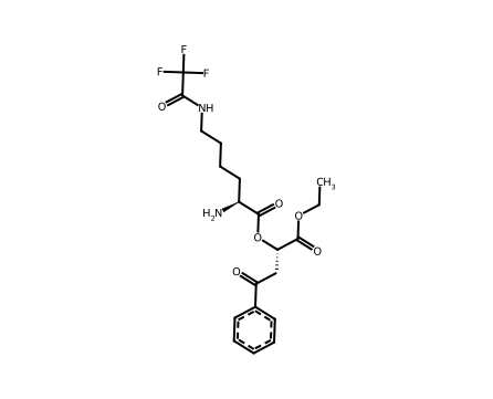 CCOC(=O)[C@H](CC(=O)c1ccccc1)OC(=O)[C@@H](N)CCCCNC(=O)C(F)(F)F